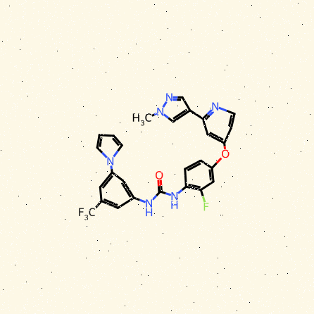 Cn1cc(-c2cc(Oc3ccc(NC(=O)Nc4cc(-n5cccc5)cc(C(F)(F)F)c4)c(F)c3)ccn2)cn1